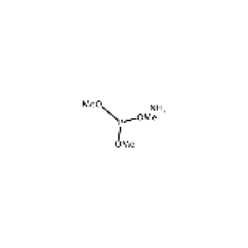 COP(OC)OC.N